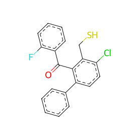 O=C(c1ccccc1F)c1c(-c2ccccc2)ccc(Cl)c1CS